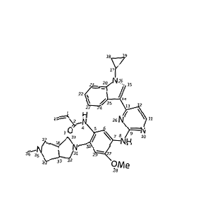 C=CC(=O)Nc1cc(Nc2nccc(-c3cn(C4CC4)c4ccccc34)n2)c(OC)cc1N1CC2CN(C)CC2C1